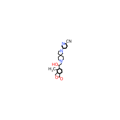 Cc1c(C(O)CN2CCC3(CC2)CCN(c2ccc(C#N)nc2)C3)ccc2c1COC2=O